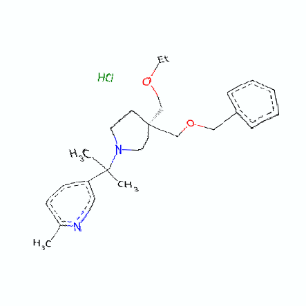 CCOC[C@@]1(COCc2ccccc2)CCN(C(C)(C)c2ccc(C)nc2)C1.Cl